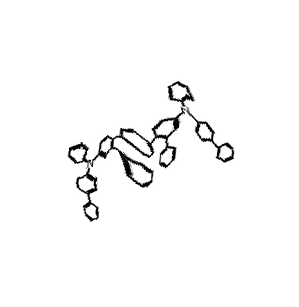 c1ccc(-c2ccc(N(c3ccccc3)c3ccc(-c4ccc(-c5ccc(N(c6ccccc6)c6ccc(-c7ccccc7)cc6)cc5-c5ccccc5)cc4)c(-c4ccccc4)c3)cc2)cc1